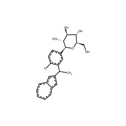 CC(c1cc2cccccc-2c1)c1cc([C@@H]2O[C@H](CO)[C@@H](O)[C@H](O)[C@H]2O)ccc1Cl